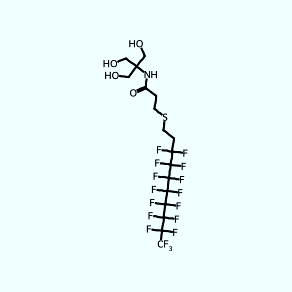 O=C(CCSCCC(F)(F)C(F)(F)C(F)(F)C(F)(F)C(F)(F)C(F)(F)C(F)(F)C(F)(F)F)NC(CO)(CO)CO